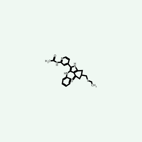 CCSCC1CC(=O)c2c([nH]c(-c3ccnc(NC(C)=O)c3)c2Nc2ccccc2)C1